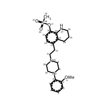 COc1ccccc1N1CCN(CCc2ccc(OS(C)(=O)=O)c3c2CCCN3)CC1